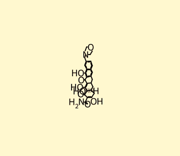 NC(=O)C1=C(O)C[C@@H]2CC3Cc4cc5ccc(CN6CCOCC6)cc5c(O)c4C(=O)C3=C(O)[C@]2(O)C1=O